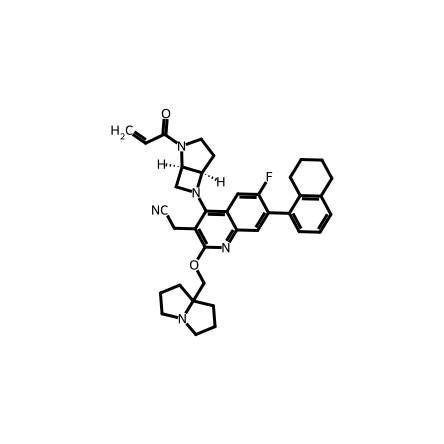 C=CC(=O)N1CC[C@@H]2[C@H]1CN2c1c(CC#N)c(OCC23CCCN2CCC3)nc2cc(-c3cccc4c3CCCC4)c(F)cc12